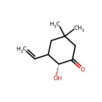 C=CC1CC(C)(C)CC(=O)[C@@H]1O